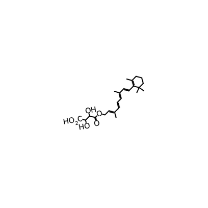 CC(C=CC1=C(C)CCCC1(C)C)=CC=CC(C)=CCOC(=O)C(O)C(O)C(=O)O